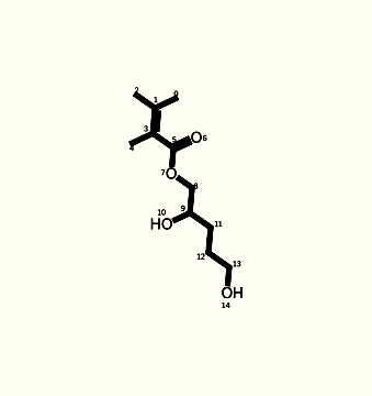 CC(C)=C(C)C(=O)OCC(O)CCCO